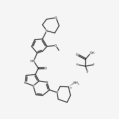 COc1cc(NC(=O)c2cnn3ccc(N4CCC[C@@H](N)C4)nc23)ccc1N1CCOCC1.O=C(O)C(F)(F)F